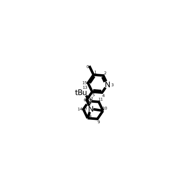 Cc1cncc(CN2C3CC2CN(C(C)(C)C)C3)c1